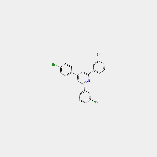 Brc1ccc(-c2cc(-c3cccc(Br)c3)nc(-c3cccc(Br)c3)c2)cc1